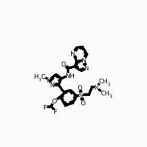 CN(C)CCS(=O)(=O)c1ccc(OC(F)F)c(-c2nn(C)cc2NC(=O)c2cnn3cccnc23)c1